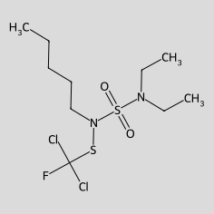 CCCCCN(SC(F)(Cl)Cl)S(=O)(=O)N(CC)CC